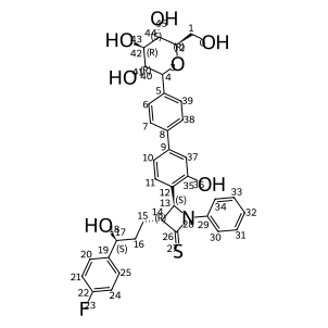 OC[C@H]1OC(c2ccc(-c3ccc([C@@H]4[C@@H](CC[C@H](O)c5ccc(F)cc5)C(=S)N4c4ccccc4)c(O)c3)cc2)[C@H](O)[C@@H](O)[C@@H]1O